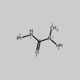 CCCN(C)C(=O)NC(C)C